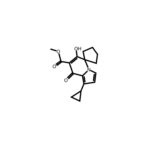 COC(=O)C1=C(O)C2(CCCC2)n2ccc(C3CC3)c2C1=O